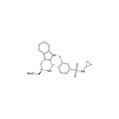 COC[C@H]1Cc2c([nH]c3ccccc23)[C@H](c2ccc(S(=O)(=O)NC3CC3)cc2F)N1